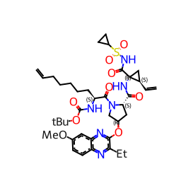 C=CCCCCC[C@H](NC(=O)OC(C)(C)C)C(=O)N1C[C@H](Oc2nc3cc(OC)ccc3nc2CC)C[C@H]1C(=O)N[C@]1(C(=O)NS(=O)(=O)C2CC2)C[C@H]1C=C